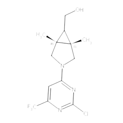 C[C@@]12CN(c3cc(C(F)(F)F)nc(Cl)n3)C[C@]1(C)C2CO